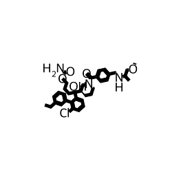 CCc1cccc(-c2c(Cl)cccc2[C@](O)(CCCOC(N)=O)[C@@H]2CCCN(C(=O)c3ccc(CNC(C)COC)cc3)C2)c1